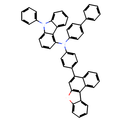 c1ccc(-c2ccc(N(c3ccc(-c4cc5oc6ccccc6c5c5ccccc45)cc3)c3cccc4c3c3ccccc3n4-c3ccccc3)cc2)cc1